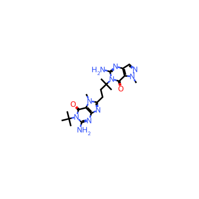 Cn1ncc2nc(N)n(C(C)(C)CCc3nc4nc(N)n(C(C)(C)C)c(=O)c4n3C)c(=O)c21